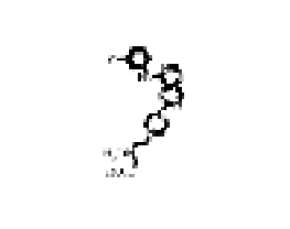 CCOC(=O)CN(C)CCN1CCN(c2ncc3ncnc(Nc4cccc(Cl)c4)c3n2)CC1